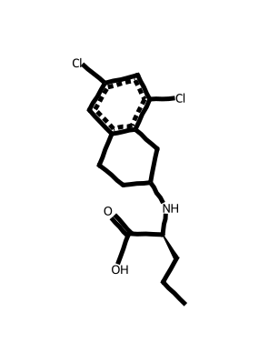 CCC[C@H](NC1CCc2cc(Cl)cc(Cl)c2C1)C(=O)O